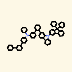 c1ccc(-c2cccc(-c3ccc(N(c4ccccc4)c4cccc(-c5ccccc5-c5ccc6c7ccccc7n(-c7ccc8c(c7)-c7ccccc7C8(c7ccccc7)c7ccccc7)c6c5)c4)cc3)c2)cc1